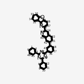 c1ccc(-c2nc(-c3ccccc3)nc(-c3cccc(-c4ccc5cc(-c6ccc7oc8ccccc8c7n6)ncc5c4)c3)n2)cc1